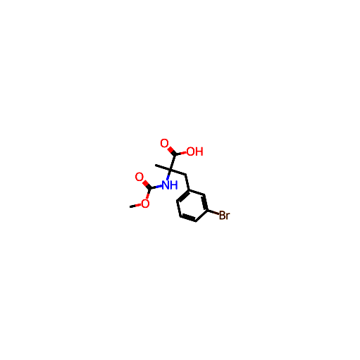 COC(=O)NC(C)(Cc1cccc(Br)c1)C(=O)O